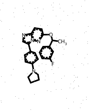 CC(Oc1ccc2ncc(-c3ccc(N4CCCC4)cc3)n2n1)c1cccc(F)c1